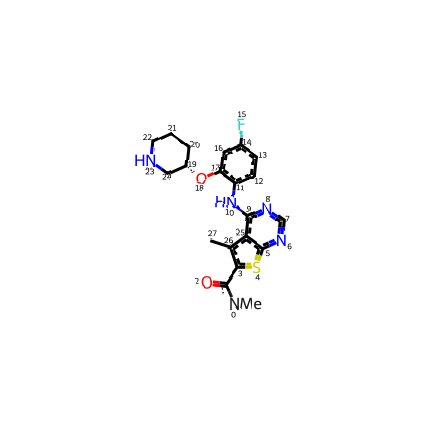 CNC(=O)c1sc2ncnc(Nc3ccc(F)cc3O[C@H]3CCCNC3)c2c1C